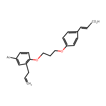 C=CCc1cc(C(C)=O)ccc1OCCCOc1ccc(C=CC(=O)O)cc1